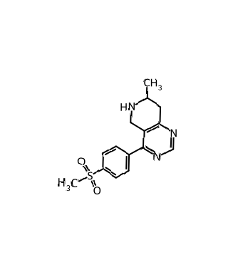 CC1Cc2ncnc(-c3ccc(S(C)(=O)=O)cc3)c2CN1